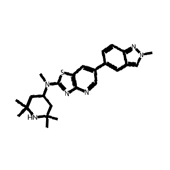 CN(c1nc2ncc(-c3ccc4nn(C)cc4c3)cc2s1)C1CC(C)(C)NC(C)(C)C1